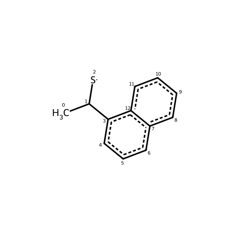 CC([S])c1cccc2ccccc12